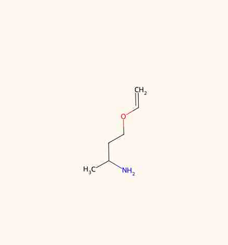 C=COCCC(C)N